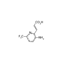 Nc1ccc(C(F)(F)F)nc1/C=C/C(=O)O